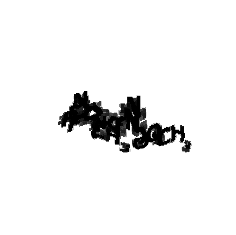 CCOC(=O)CCn1cncc1C1=CCC(N(CC)c2ccc(C#N)c(C(F)(F)F)c2)C1